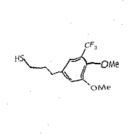 COc1cc(CCCS)cc(C(F)(F)F)c1OC